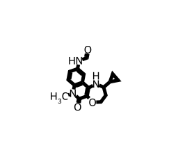 Cn1c(=O)c2c(c3cc(NC=O)ccc31)NC(C1CC1)CCO2